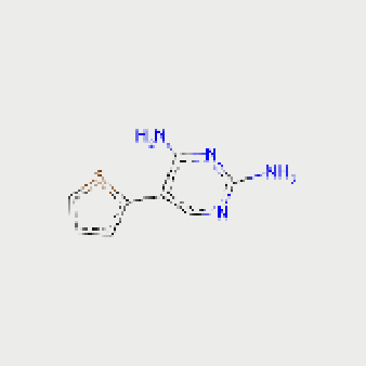 Nc1ncc(-c2cccs2)c(N)n1